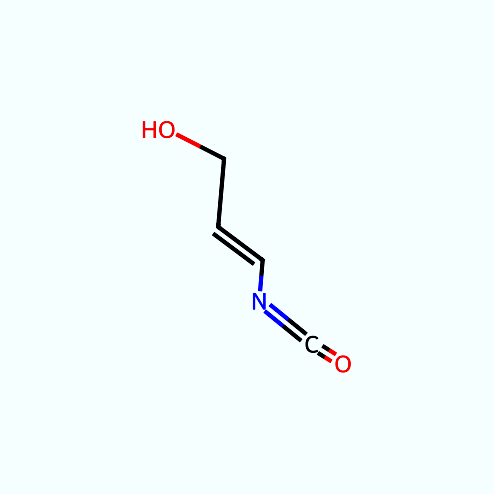 O=C=NC=CCO